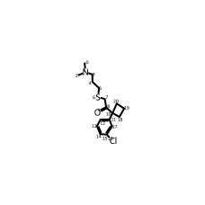 CN(C)CCCSCC(=O)C1(c2cccc(Cl)c2)CCC1